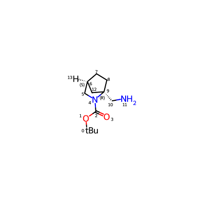 CC(C)(C)OC(=O)N1C[C@H]2CC[C@]1(CN)C2